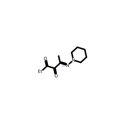 CCC(=O)C(=O)/C(C)=N/N1CCCCC1